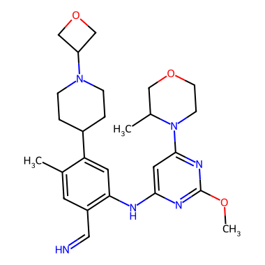 COc1nc(Nc2cc(C3CCN(C4COC4)CC3)c(C)cc2C=N)cc(N2CCOCC2C)n1